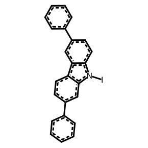 In1c2ccc(-c3ccccc3)cc2c2ccc(-c3ccccc3)cc21